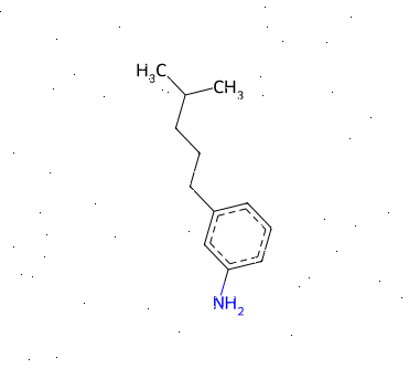 CC(C)CCCc1cccc(N)c1